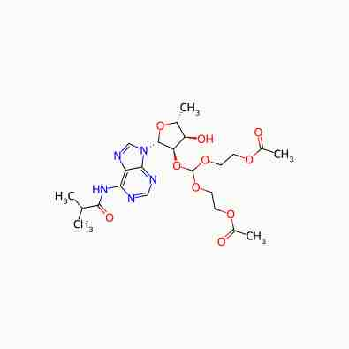 CC(=O)OCCOC(OCCOC(C)=O)O[C@@H]1[C@H](O)[C@@H](C)O[C@H]1n1cnc2c(NC(=O)C(C)C)ncnc21